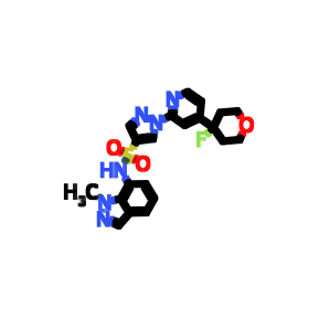 Cn1ncc2cccc(NS(=O)(=O)c3cnn(-c4cc(C5(F)CCOCC5)ccn4)c3)c21